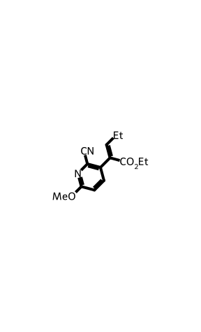 CCC=C(C(=O)OCC)c1ccc(OC)nc1C#N